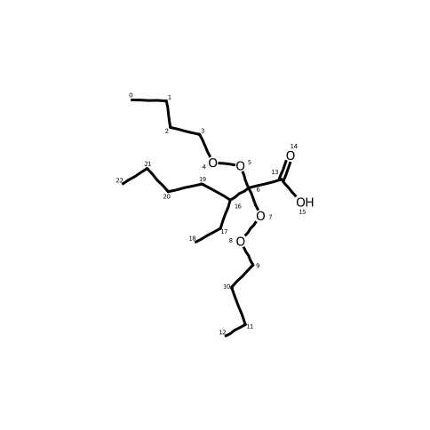 CCCCOOC(OOCCCC)(C(=O)O)C(CC)CCCC